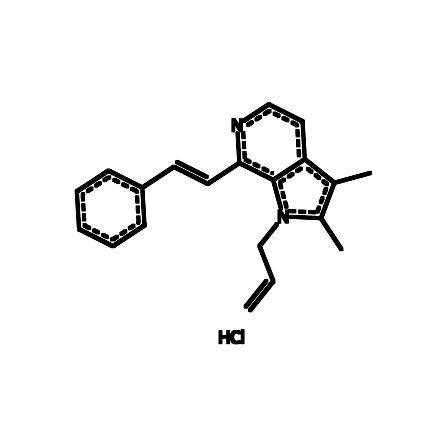 C=CCn1c(C)c(C)c2ccnc(/C=C/c3ccccc3)c21.Cl